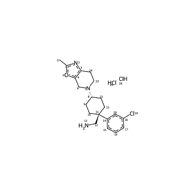 Cc1nc2c(o1)CN([C@H]1CC[C@@](CN)(c3cccc(Cl)c3)CC1)CC2.Cl.Cl